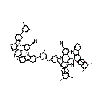 Cc1cc(C)cc(-c2ccc3c(c2)c2ccccc2n3-c2cc(C#N)cc(-n3c4ccc(Cc5cc(C)cc(-c6ccc7c8ccccc8n(-c8cc(C#N)cc(-n9c%10ccccc%10c%10ccc(-c%11cc(C)cc(C)c%11)cc%109)c8-c8cc(C)nc(C)c8)c7c6)c5)cc4c4cc(-c5cc(C)cc(C)c5)ccc43)c2-c2cc(-c3ccccc3)nc(-c3ccccc3)c2)c1